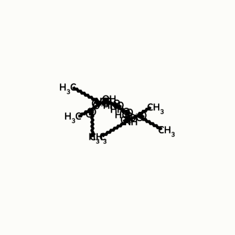 CCCCCCCCCCCCCC(=O)N[C@H](COCC[C@H](CCCCCCC)OC(=O)CCCCCCCCCCC)COP(=O)(O)OCCNC(=O)CC(=O)NCCOP(=O)(O)OC[C@@H](COCC[C@H](CCCCCCC)OC(=O)CCCCCCCCCCC)NC(=O)CCCCCCCCCCCCC